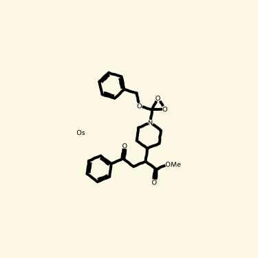 COC(=O)C(CC(=O)c1ccccc1)C1CCN(C2(OCc3ccccc3)OO2)CC1.[Os]